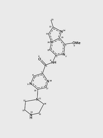 COc1nc(NC(=O)c2cnc(N3CCNCC3)cn2)cn2cc(C)nc12